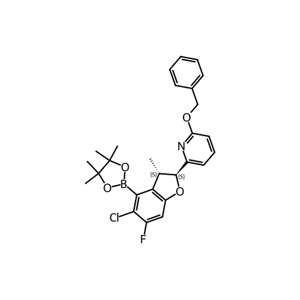 C[C@H]1c2c(cc(F)c(Cl)c2B2OC(C)(C)C(C)(C)O2)O[C@@H]1c1cccc(OCc2ccccc2)n1